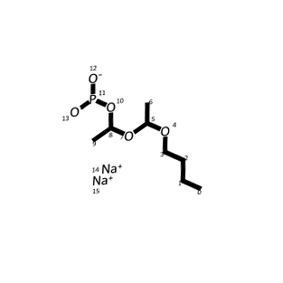 CCCCOC(C)OC(C)OP([O-])[O-].[Na+].[Na+]